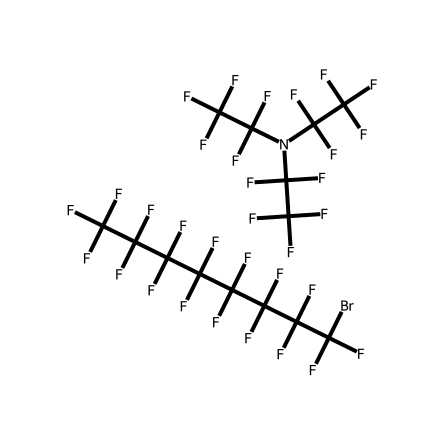 FC(F)(F)C(F)(F)C(F)(F)C(F)(F)C(F)(F)C(F)(F)C(F)(F)C(F)(F)Br.FC(F)(F)C(F)(F)N(C(F)(F)C(F)(F)F)C(F)(F)C(F)(F)F